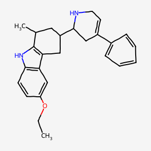 CCOc1ccc2[nH]c3c(c2c1)CC(C1CC(c2ccccc2)=CCN1)CC3C